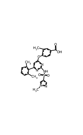 Cc1cc(C(=O)O)ccc1Oc1cc(-c2c(C)cccc2C)nc(NS(=O)(=O)c2cnn(C)c2)n1